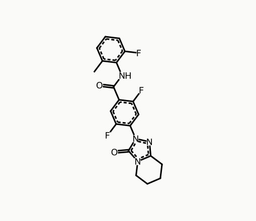 Cc1cccc(F)c1NC(=O)c1cc(F)c(-n2nc3n(c2=O)CCCC3)cc1F